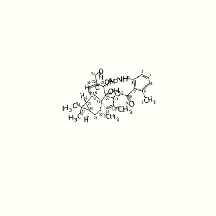 CC(=O)Nc1cccc(C)c1C(=O)O[C@H]1C(C)=C[C@]23C(=O)[C@@H](C=C(CO)[C@@H](O)[C@]12O)[C@@H]1[C@@H](C[C@H]3C)C1(C)C